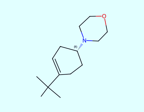 CC(C)(C)C1=CC[C@H](N2CCOCC2)CC1